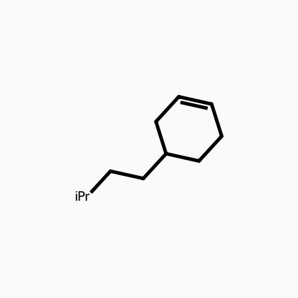 CC(C)CCC1CC=CCC1